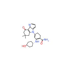 CC1(C)CC(=O)c2c(n(C3=CC(N[C@H]4CC[C@H](O)CC4)=C(C(N)=O)CC3)c3cccnc23)C1